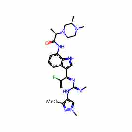 C=C(F)/C(=N\C(=N/C)Nc1cn(C)nc1OC)c1c[nH]c2c(NC(=O)[C@@H](C)N3CCN(C)[C@H](C)C3)cccc12